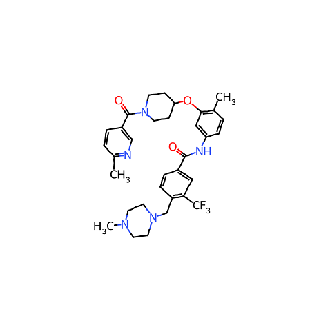 Cc1ccc(C(=O)N2CCC(Oc3cc(NC(=O)c4ccc(CN5CCN(C)CC5)c(C(F)(F)F)c4)ccc3C)CC2)cn1